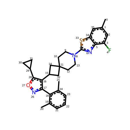 Cc1cc(F)c2nc(N3CCC4(CC3)CC(c3c(-c5c(C)cccc5C)noc3C3CC3)C4)sc2c1